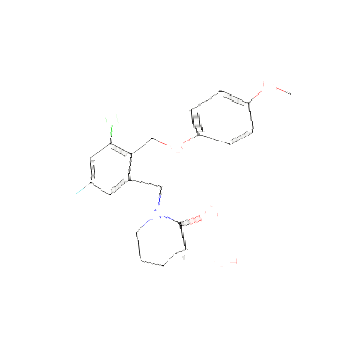 COc1ccc(OCc2c(Cl)cc(F)cc2[C@H](C)N2CCC[C@@H](O)C2=O)cc1